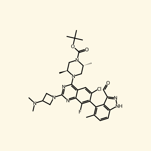 Cc1ccc2[nH]nc(C=O)c2c1-c1c(Cl)cc2c(N3C[C@@H](C)N(C(=O)OC(C)(C)C)C[C@@H]3C)nc(N3CC(N(C)C)C3)nc2c1F